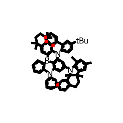 Cc1cc(C)c2c(c1)C1(C)CCc3ccccc3C1(C)N2c1cc2c3c(c1)N(c1ccc(C(C)(C)C)cc1-c1ccccc1)c1cc4c(cc1B3c1ccccc1N2c1ccccc1)C(C)(C)CCC4(C)C